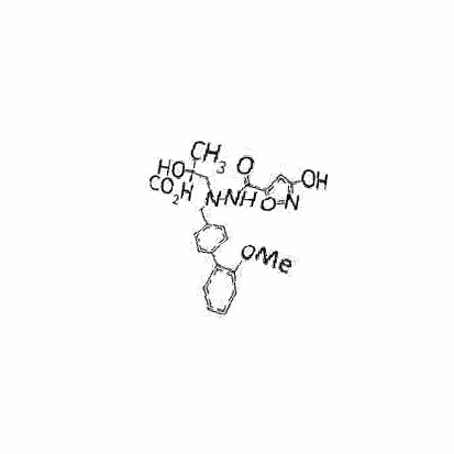 COc1ccccc1-c1ccc(CN(C[C@@](C)(O)C(=O)O)NC(=O)c2cc(O)no2)cc1